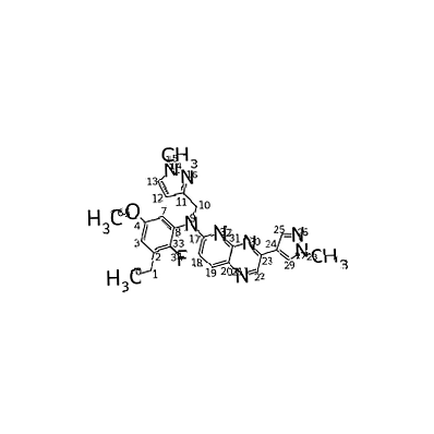 CCc1cc(OC)cc(N(Cc2ccn(C)n2)c2ccc3ncc(-c4cnn(C)c4)nc3n2)c1F